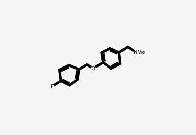 CNCc1ccc(OCc2ccc(F)cc2)cc1